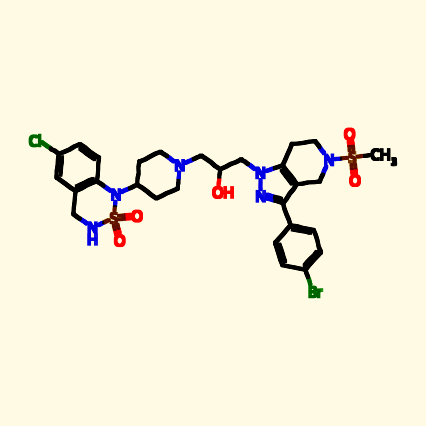 CS(=O)(=O)N1CCc2c(c(-c3ccc(Br)cc3)nn2CC(O)CN2CCC(N3c4ccc(Cl)cc4CNS3(=O)=O)CC2)C1